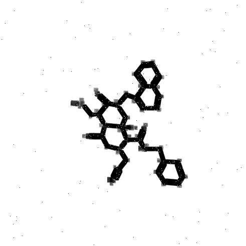 C#CCN1CC(=O)N2[C@@H](CC(=O)O)C(=O)N(Cc3cccc4ccccc34)C[C@@H]2N1C(=O)NCc1ccccc1